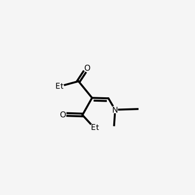 CCC(=O)C(=CN(C)C)C(=O)CC